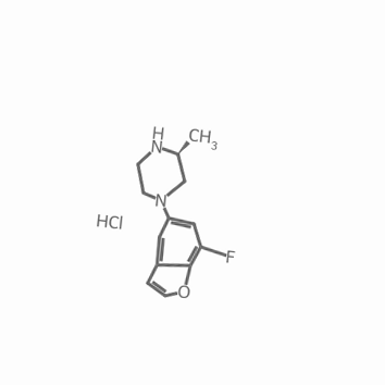 C[C@H]1CN(c2cc(F)c3occc3c2)CCN1.Cl